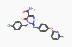 NC(=O)c1c[nH]/c(=N\c2ccc(Oc3cccc(F)n3)cc2)n(Cc2ccc(Cl)cc2)c1=O